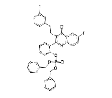 O=c1c2cc(F)ccc2nc(-c2ccccc2OP(=O)(OCc2ccccc2)OCc2ccccc2)n1CCc1cccc(F)c1